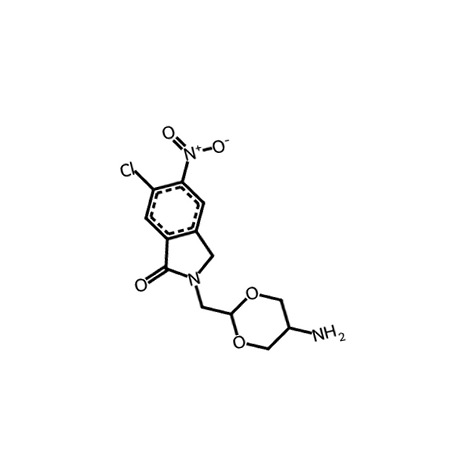 NC1COC(CN2Cc3cc([N+](=O)[O-])c(Cl)cc3C2=O)OC1